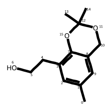 Cc1cc(CCO)c2c(c1)COC(C)(C)O2